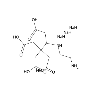 NCCN[C](CC(=O)O)C(CC(=O)O)(CC(=O)O)CC(=O)O.[NaH].[NaH].[NaH]